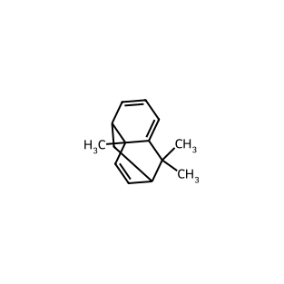 CC1(C)C2=CC=CC3CC1C=CC23C